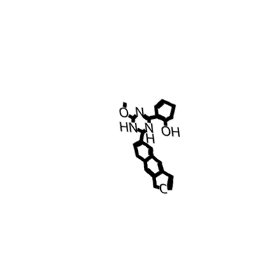 COC1N=C(C2=C(O)CCC=C2)NC(C2=CCC3C=C4CCC=CC4=CC3=C2)N1